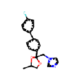 CC1COC(Cn2ccnc2)(c2ccc(-c3ccc(F)cc3)cc2)O1